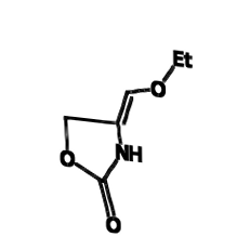 CCOC=C1COC(=O)N1